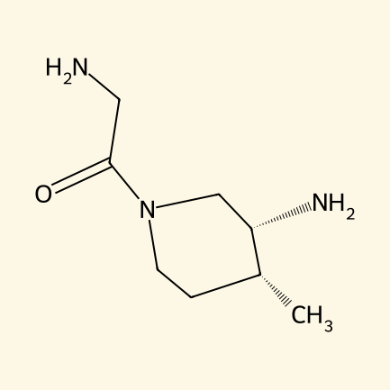 C[C@@H]1CCN(C(=O)CN)C[C@@H]1N